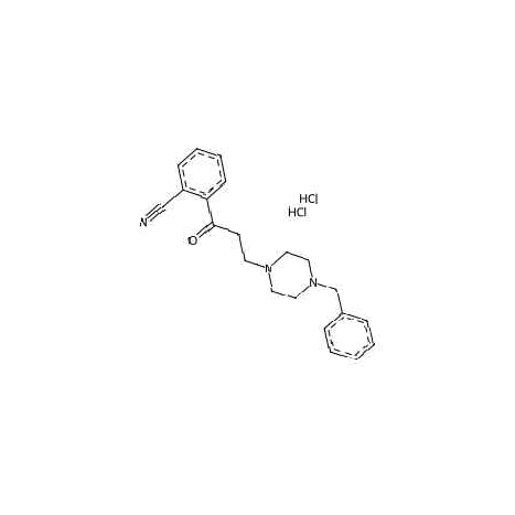 Cl.Cl.N#Cc1ccccc1C(=O)CCN1CCN(Cc2ccccc2)CC1